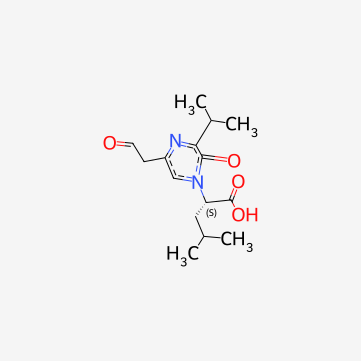 CC(C)C[C@@H](C(=O)O)n1cc(CC=O)nc(C(C)C)c1=O